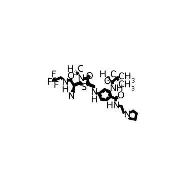 CCn1c(=C(C#N)C(=O)NCC(F)(F)F)sc(=CNc2ccc(C(=O)NCCN3CCCC3)c(NC(=O)C(C)(C)C)c2)c1=O